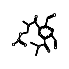 CN(C)C(=O)c1cc(C(=O)N(C)CO[N+](=O)[O-])c(C=O)cc1C=O